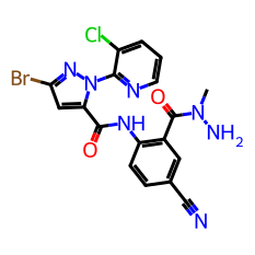 CN(N)C(=O)c1cc(C#N)ccc1NC(=O)c1cc(Br)nn1-c1ncccc1Cl